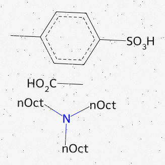 CC(=O)O.CCCCCCCCN(CCCCCCCC)CCCCCCCC.Cc1ccc(S(=O)(=O)O)cc1